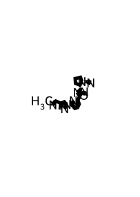 C/N=C/c1cnn(-c2cccc(-c3nc([C@@H]4CCCN4C#N)no3)n2)c1